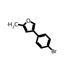 [CH2]c1cc(-c2ccc(Br)cc2)co1